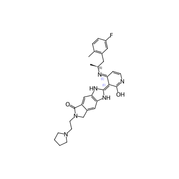 Cc1ccc(F)cc1C[C@H](C)/N=C1\C=CN=C(O)\C1=C1/Nc2cc3c(cc2N1)C(=O)N(CCN1CCCC1)C3